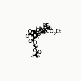 C=C(I)C(=O)OCCOC(=O)C1C2CC3C(OC(=O)C31)C2OS(=O)(=O)NS(=O)(=O)C(F)(F)C(=O)OCC